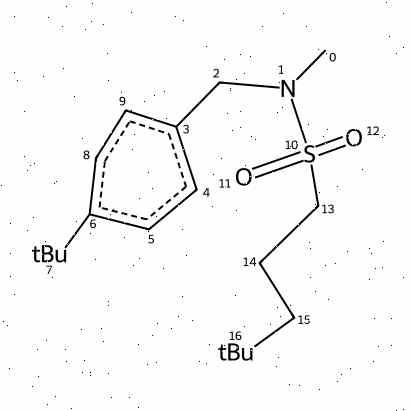 CN(Cc1ccc(C(C)(C)C)cc1)S(=O)(=O)CCCC(C)(C)C